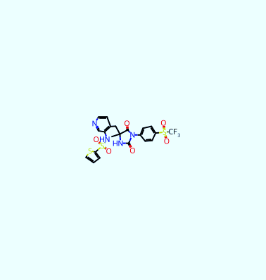 CC1(Cc2ccncc2NS(=O)(=O)c2cccs2)NC(=O)N(c2ccc(S(=O)(=O)C(F)(F)F)cc2)C1=O